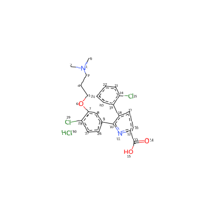 CN(C)CCCOc1cc(-c2nc(C(=O)O)ccc2-c2ccccc2Cl)ccc1Cl.Cl